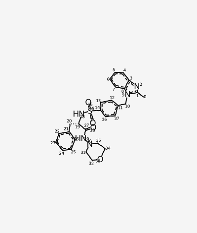 Cc1nc2ccccc2n1Cc1ccc(S(=O)(=O)N[C@@H](Cc2ccccc2)C(=O)NN2CCOCC2)cc1